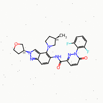 C[C@@H]1CCN(c2c(NC(=O)c3ccc(=O)n(-c4c(F)cccc4F)n3)ccc3nn([C@H]4CCOC4)cc23)C1